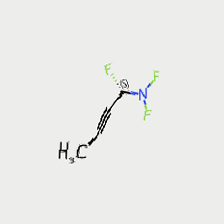 CC#C[C@H](F)N(F)F